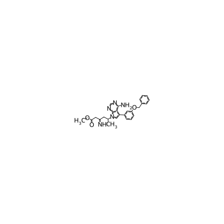 COC(=O)CC(=N)CC(C)n1cc(-c2cccc(OCc3ccccc3)c2)c2c(N)ncnc21